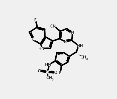 [C-]#[N+]c1cnc(N[C@H](C)c2ccc(NS(C)(=O)=O)c(F)c2)nc1-c1c[nH]c2ncc(F)cc12